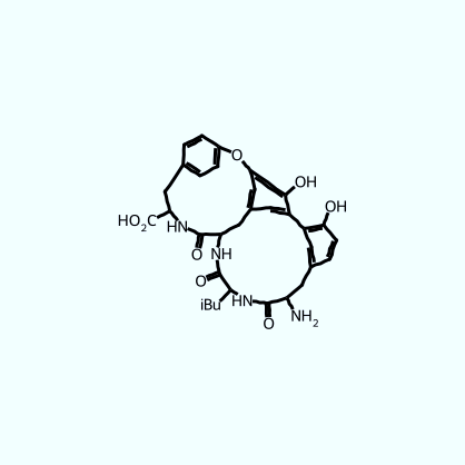 CCC(C)C1NC(=O)C(N)Cc2ccc(O)c(c2)-c2cc3cc(c2O)Oc2ccc(cc2)CC(C(=O)O)NC(=O)C(C3)NC1=O